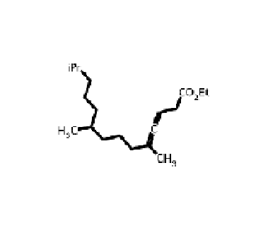 CCOC(=O)CC=C=C(C)CCCC(C)CCCC(C)C